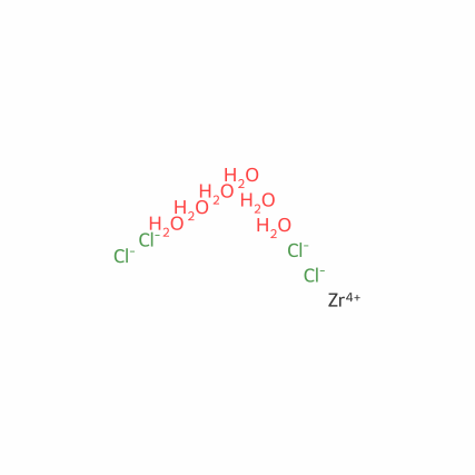 O.O.O.O.O.O.[Cl-].[Cl-].[Cl-].[Cl-].[Zr+4]